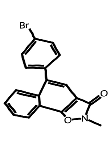 Cn1oc2c(cc(-c3ccc(Br)cc3)c3ccccc32)c1=O